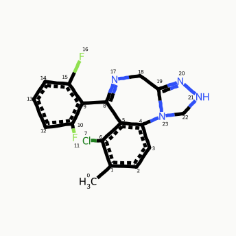 Cc1ccc2c(c1Cl)C(c1c(F)cccc1F)=NCC1=NNCN12